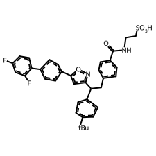 CC(C)(C)c1ccc(C(Cc2ccc(C(=O)NCCS(=O)(=O)O)cc2)c2cc(-c3ccc(-c4ccc(F)cc4F)cc3)on2)cc1